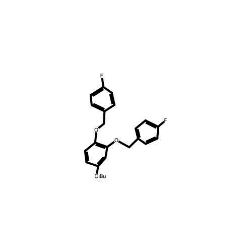 CC(C)COc1ccc(OCc2ccc(F)cc2)c(OCc2ccc(F)cc2)c1